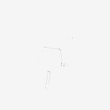 CCC1CC(=O)NC1=O